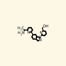 C[C@H](N)c1cccc(-c2ccc3cnn(-c4cccc(CO)n4)c3c2)n1